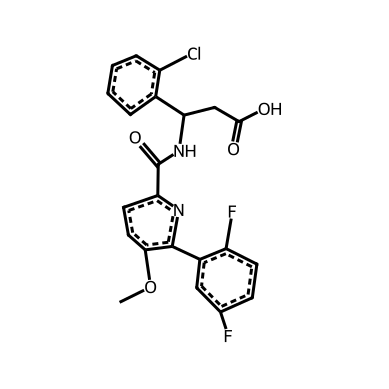 COc1ccc(C(=O)NC(CC(=O)O)c2ccccc2Cl)nc1-c1cc(F)ccc1F